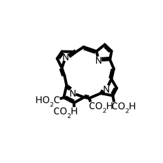 O=C(O)C1=CC2=CC3=NC(=CC4=NC(=CC5=NC(=C(C(=O)O)C1=N2)C(C(=O)O)=C5C(=O)O)C=C4)C=C3